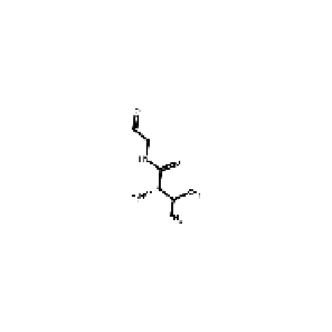 CC(C)[C@H](N)C(=O)NC[C]=O